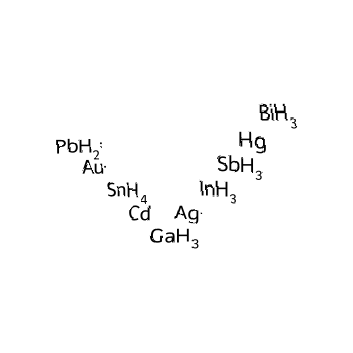 [Ag].[Au].[BiH3].[Cd].[GaH3].[Hg].[InH3].[PbH2].[SbH3].[SnH4]